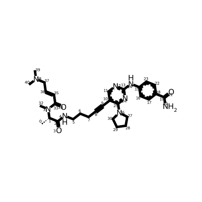 C[C@@H](C(=O)NCCCC#Cc1cnc(Nc2ccc(C(N)=O)cc2)nc1N1CCCC1)N(C)C(=O)/C=C/CN(C)C